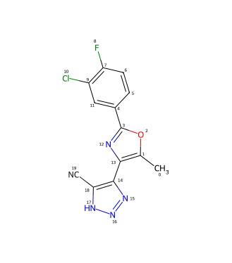 Cc1oc(-c2ccc(F)c(Cl)c2)nc1-c1nn[nH]c1C#N